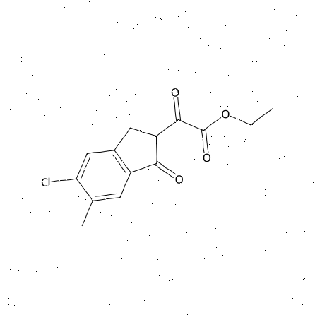 CCOC(=O)C(=O)C1Cc2cc(Cl)c(C)cc2C1=O